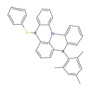 Cc1cc(C)c(B2c3ccccc3N3c4ccccc4B(Sc4ccccc4)c4cccc2c43)c(C)c1